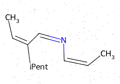 C\C=C/N=C\C(=C/C)C(C)CCC